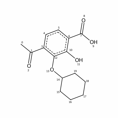 CC(=O)c1ccc(C(=O)O)c(O)c1OC1CCCCC1